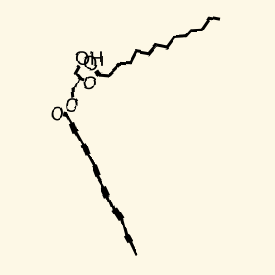 CC#CC#CC#CC#CC#CC#CC(=O)OC[C@@H](CO)OC(=O)CCCCCCCCCCCCC